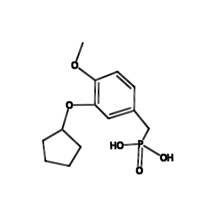 COc1ccc(CP(=O)(O)O)cc1OC1CCCC1